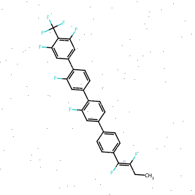 CC/C(F)=C(\F)c1ccc(-c2ccc(-c3ccc(-c4cc(F)c(C(F)(F)F)c(F)c4)c(F)c3)c(F)c2)cc1